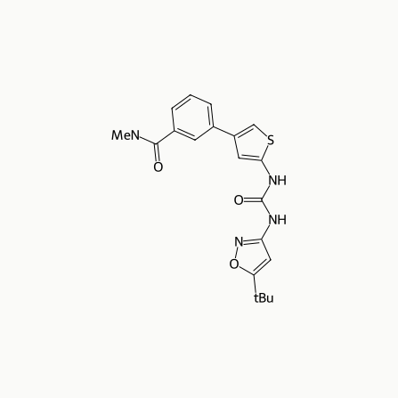 CNC(=O)c1cccc(-c2csc(NC(=O)Nc3cc(C(C)(C)C)on3)c2)c1